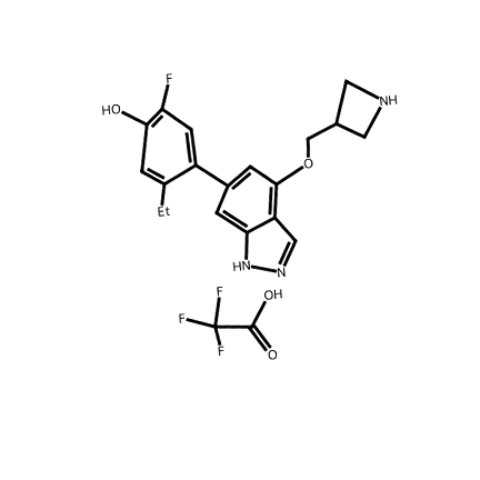 CCc1cc(O)c(F)cc1-c1cc(OCC2CNC2)c2cn[nH]c2c1.O=C(O)C(F)(F)F